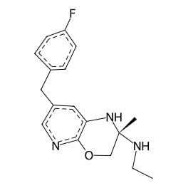 CCN[C@]1(C)COc2ncc(Cc3ccc(F)cc3)cc2N1